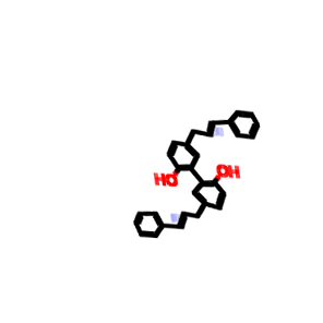 Oc1ccc(C/C=C/c2ccccc2)cc1-c1cc(C/C=C/c2ccccc2)ccc1O